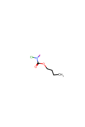 CCCCOC(=O)N(Cl)I